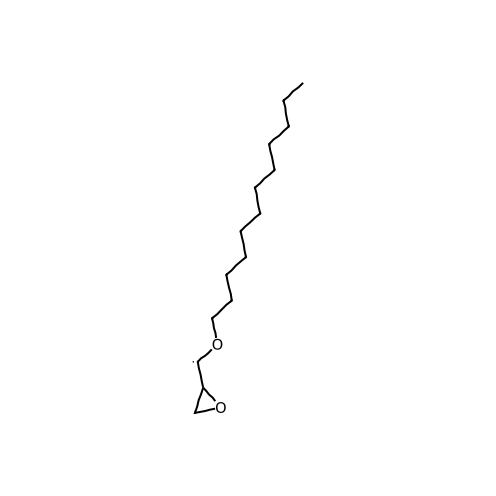 CCCCCCCCCCCCO[CH]C1CO1